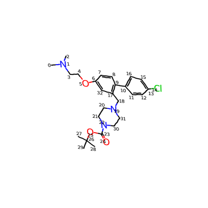 CN(C)CCOc1ccc(-c2ccc(Cl)cc2)c(CN2CCN(C(=O)OC(C)(C)C)CC2)c1